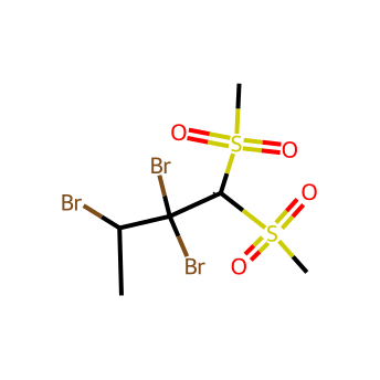 CC(Br)C(Br)(Br)[C](S(C)(=O)=O)S(C)(=O)=O